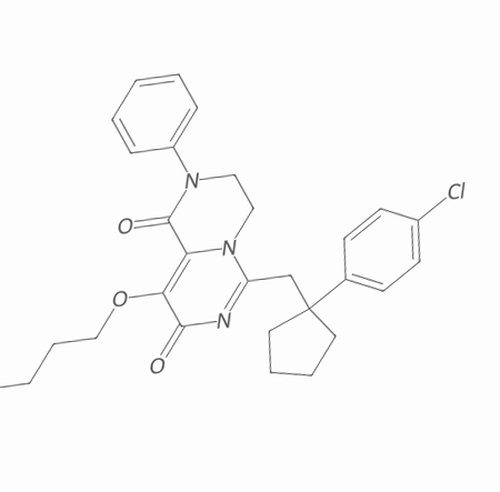 CCCCOc1c2n(c(CC3(c4ccc(Cl)cc4)CCCC3)nc1=O)CCN(c1ccccc1)C2=O